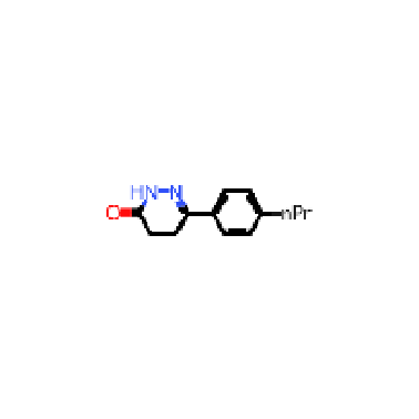 CCCc1ccc(C2=NNC(=O)CC2)cc1